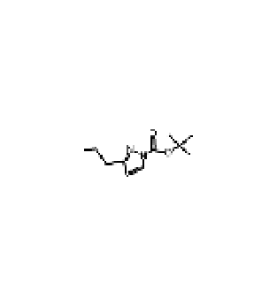 CCCc1ccn(C(=O)OC(C)(C)C)n1